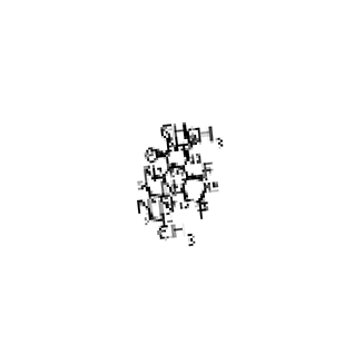 Cc1cnc2cnc(-c3c(-c4ccc(F)cc4F)cc(C)n(C)c3=O)nc2n1